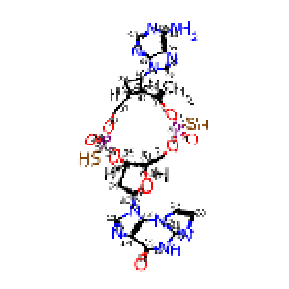 C=C1OP(=O)(S)OC[C@H]2O[C@@H](n3cnc4c(=O)[nH]c5nccn5c43)C[C@@H]2OP(=O)(S)OC[C@H]2C[C@@H](n3cnc4c(N)ncnc43)[C@H]12